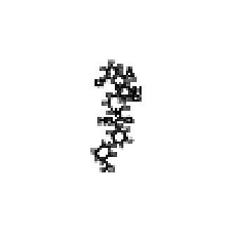 CC(C)c1cccc(-c2cccc([C@@H](O)C(=O)N3CCCc4nc(C5(c6cccc(Cl)c6)CC5)[nH]c(=O)c4C3)c2)c1